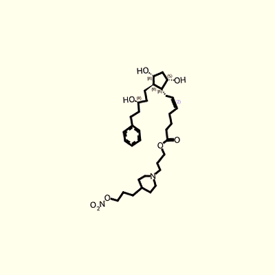 O=C(CCC/C=C\C[C@@H]1[C@@H](CC[C@@H](O)CCc2ccccc2)[C@H](O)C[C@@H]1O)OCCCN1CCC(CCCO[N+](=O)[O-])CC1